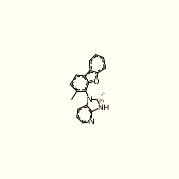 Cc1ccc2c(oc3ccccc32)c1N1c2cccnc2N[C@H]1C